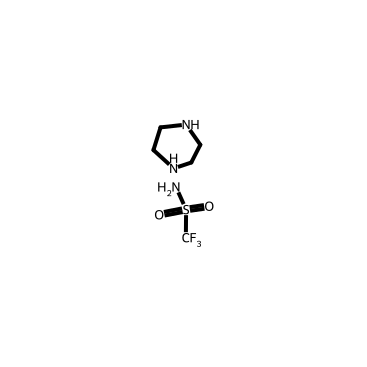 C1CNCCN1.NS(=O)(=O)C(F)(F)F